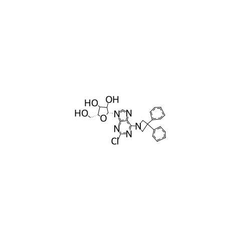 OC[C@H]1O[C@@H](n2cnc3c(N4CC(c5ccccc5)(c5ccccc5)C4)nc(Cl)nc32)C(O)C1O